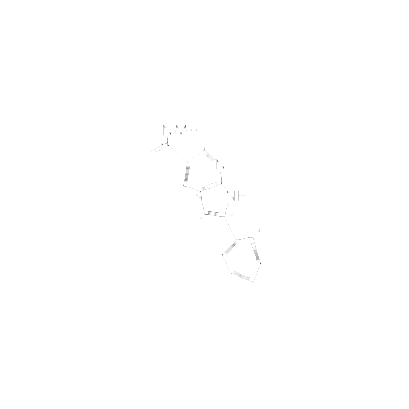 CNC(=O)c1cnc2[nH]c(-c3ccccc3)cc2c1